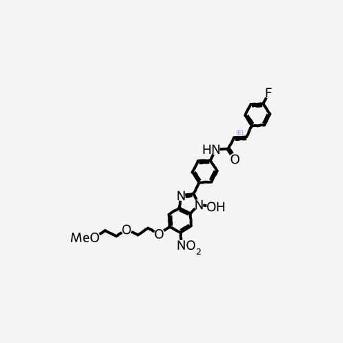 COCCOCCOc1cc2nc(-c3ccc(NC(=O)/C=C/c4ccc(F)cc4)cc3)n(O)c2cc1[N+](=O)[O-]